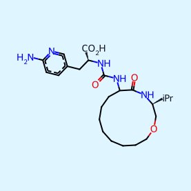 CC(C)[C@H]1COCCCCCCCCC(NC(=O)N[C@@H](Cc2ccc(N)nc2)C(=O)O)C(=O)N1